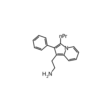 CCCc1c(-c2ccccc2)c(CCN)c2ccccn12